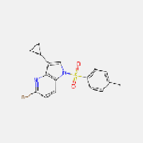 Cc1ccc(S(=O)(=O)n2cc(C3CC3)c3nc(Br)ccc32)cc1